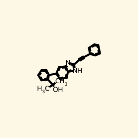 CC(C)(O)c1ccccc1-c1ccc2[nH]c(C#Cc3ccccc3)nc2c1